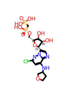 O=P(O)(O)CP(=O)(O)OC[C@H]1O[C@@H](c2cnc3c(NC4CCOC4)cc(Cl)nn23)[C@H](O)[C@@H]1O